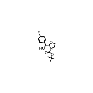 CC(C)(C)OC(=O)N1CCOC1C(O)c1ccc(F)cc1